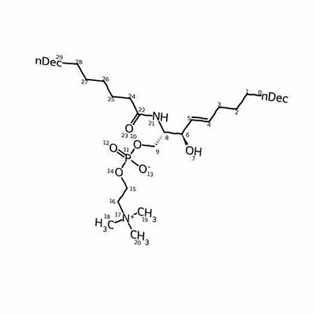 CCCCCCCCCCCCC/C=C/[C@@H](O)[C@H](COP(=O)([O-])OCC[N+](C)(C)C)NC(=O)CCCCCCCCCCCCCCC